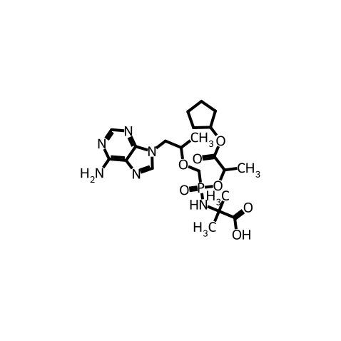 CC(Cn1cnc2c(N)ncnc21)OCP(=O)(NC(C)(C)C(=O)O)OC(C)C(=O)OC1CCCC1